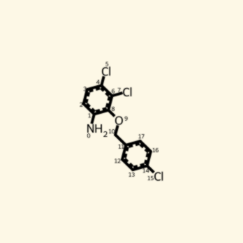 Nc1ccc(Cl)c(Cl)c1OCc1ccc(Cl)cc1